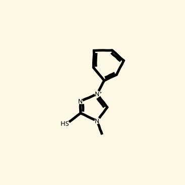 Cn1c[n+](-c2ccccc2)nc1S